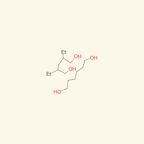 CCC(CO)CC(CC)CO.OCCCCCCO